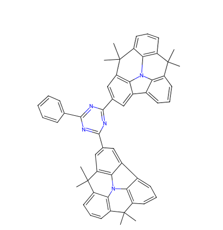 CC1(C)c2cccc3c2-n2c4c1cccc4c1cc(-c4nc(-c5ccccc5)nc(-c5cc6c7c(c5)c5cccc8c5n7-c5c(cccc5C6(C)C)C8(C)C)n4)cc(c12)C3(C)C